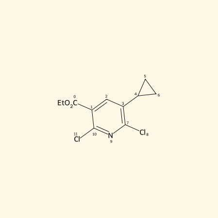 CCOC(=O)c1cc(C2CC2)c(Cl)nc1Cl